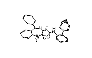 CN1C(=O)C(NC(=O)Nc2ccccc2-c2ccccc2)N=C(C2CCCCC2)C2C=CC=CC21